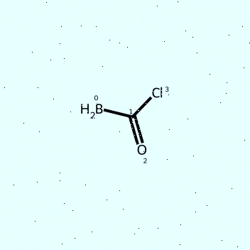 BC(=O)Cl